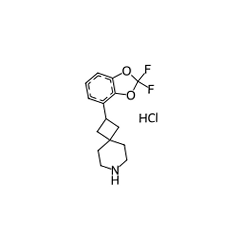 Cl.FC1(F)Oc2cccc(C3CC4(CCNCC4)C3)c2O1